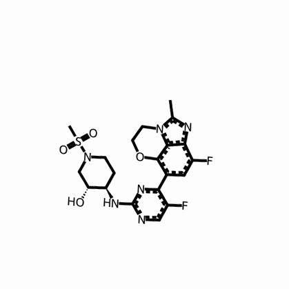 Cc1nc2c(F)cc(-c3nc(N[C@@H]4CCN(S(C)(=O)=O)C[C@H]4O)ncc3F)c3c2n1CCO3